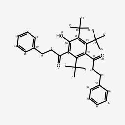 CC(C)(C)c1c(C(=O)CCc2ccccc2)c(O)c(C(C)(C)C)c(C(C)(C)C)c1C(=O)CCc1ccccc1